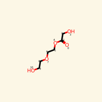 O=C(CO)OCCOCCO